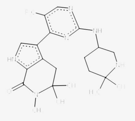 CN1C(=O)c2[nH]cc(-c3nc(NC4CCC(C)(C)NC4)ncc3C(F)(F)F)c2CC1(C)C